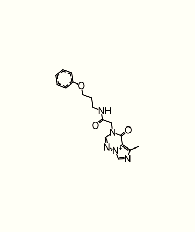 CC1=C2C(=O)N(CC(=O)NCCCOc3ccccc3)C=N[N+]2C=N1